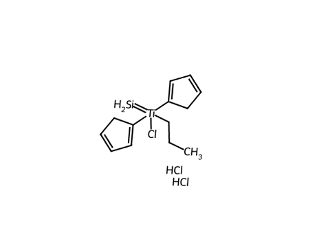 CC[CH2][Ti](=[SiH2])([Cl])([C]1=CC=CC1)[C]1=CC=CC1.Cl.Cl